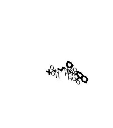 CC(C)(C)OC(=O)NCCCNc1ccccc1S(=O)(=O)Nc1ccc2c(c1C(=O)O)CCCC2